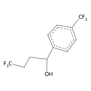 OC(CCC(F)(F)F)c1ccc(C(F)(F)F)cc1